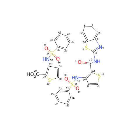 O=C(Nc1nc2ccccc2s1)c1sccc1NS(=O)(=O)c1ccccc1.O=C(O)c1sccc1NS(=O)(=O)c1ccccc1